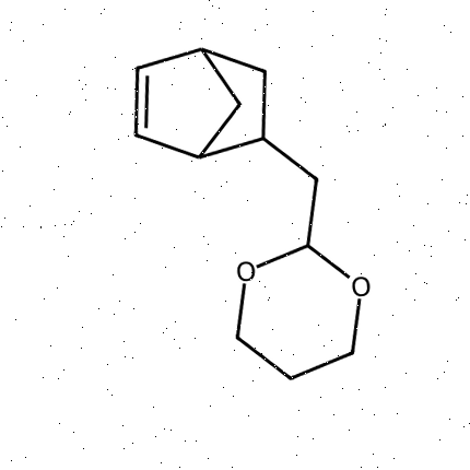 C1=CC2CC1CC2CC1OCCCO1